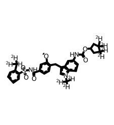 [2H]C([2H])([2H])c1ccccc1S(=O)(=O)NC(=O)c1ccc(Cc2cn(C([2H])([2H])[2H])c3ccc(NC(=O)OC4CC([2H])([2H])C([2H])([2H])C4)cc23)c(OC)c1